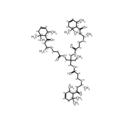 CCC(COC(=O)CCSC(C)CC(=O)C1C(C)C=CCC1(C)C)(COC(=O)CCS[C@H](C)CC(=O)C1C(C)C=CCC1(C)C)COC(=O)CCS[C@@H](C)CC(=O)C1C(C)C=CCC1(C)C